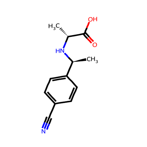 C[C@H](N[C@H](C)C(=O)O)c1ccc(C#N)cc1